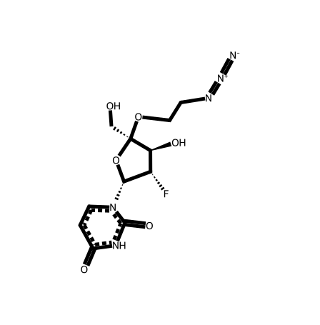 [N-]=[N+]=NCCO[C@]1(CO)O[C@@H](n2ccc(=O)[nH]c2=O)[C@@H](F)[C@@H]1O